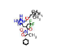 C[C@@H]1[C@H](c2ccccc2)OC(=O)N1C(=O)C(CC1=NNNN1COCC[Si](C)(C)C)CC(F)(F)F